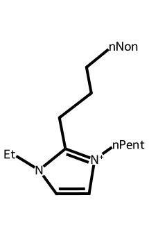 CCCCCCCCCCCCc1n(CC)cc[n+]1CCCCC